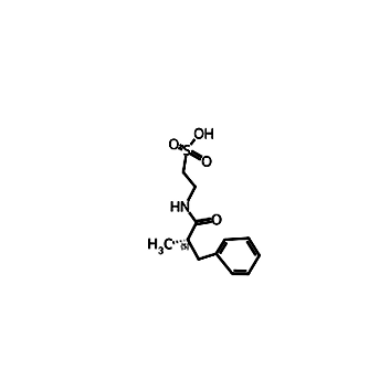 C[C@@H](Cc1ccccc1)C(=O)NCCS(=O)(=O)O